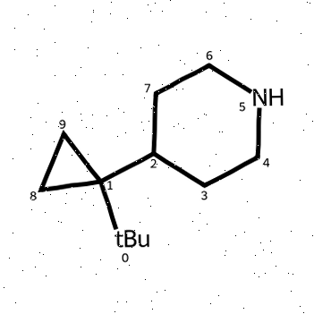 CC(C)(C)C1(C2CCNCC2)CC1